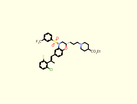 CCOC(=O)C1CCN(CCC[C@H]2CN(S(=O)(=O)c3cccc(C(F)(F)F)c3)c3cc(/C=C(\C)c4c(F)cccc4Cl)ccc3O2)CC1